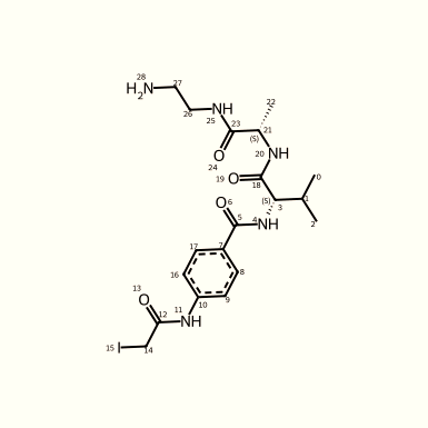 CC(C)[C@H](NC(=O)c1ccc(NC(=O)CI)cc1)C(=O)N[C@@H](C)C(=O)NCCN